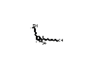 O=C(O)CCCCC1=C[C@@H]2C[C@H](O)[C@@H](C=CCCCCCCO)[C@@H]2C1